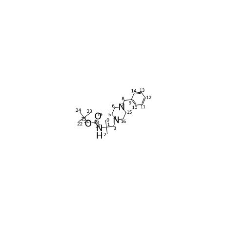 CC(C)(CN1CCN(Cc2ccccc2)CC1)NC(=O)OC(C)(C)C